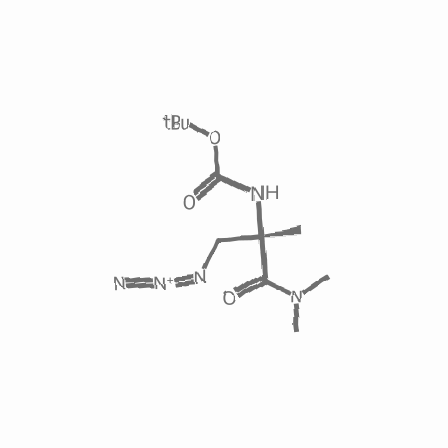 CN(C)C(=O)[C@](C)(CN=[N+]=[N-])NC(=O)OC(C)(C)C